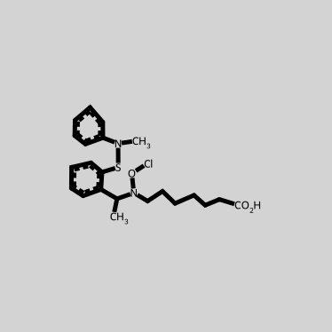 CC(c1ccccc1SN(C)c1ccccc1)N(CCCCCCC(=O)O)OCl